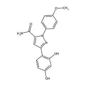 COc1ccc(-n2nc(-c3ccc(O)cc3O)cc2C(N)=O)cc1